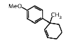 COc1ccc(C2(C)C=CCCC2)cc1